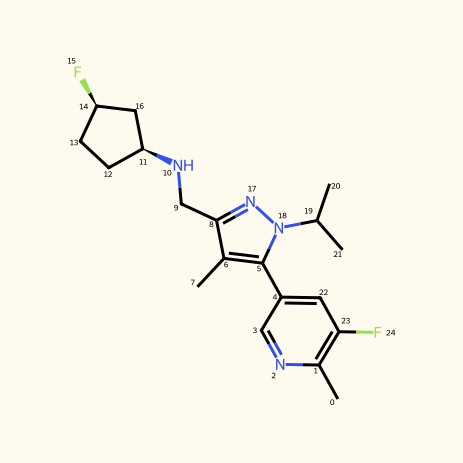 Cc1ncc(-c2c(C)c(CN[C@H]3CC[C@@H](F)C3)nn2C(C)C)cc1F